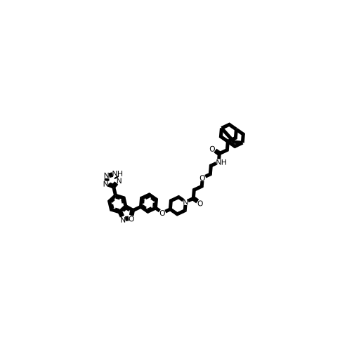 O=C(CC12CC3CC(CC(C3)C1)C2)NCCOCCC(=O)N1CCC(Oc2cccc(-c3onc4ccc(-c5nn[nH]n5)cc34)c2)CC1